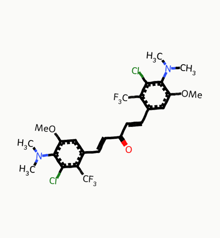 COc1cc(/C=C/C(=O)/C=C/c2cc(OC)c(N(C)C)c(Cl)c2C(F)(F)F)c(C(F)(F)F)c(Cl)c1N(C)C